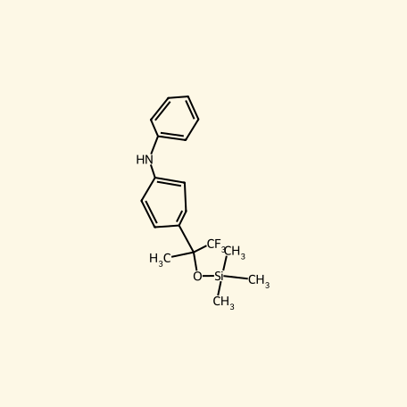 CC(O[Si](C)(C)C)(c1ccc(Nc2ccccc2)cc1)C(F)(F)F